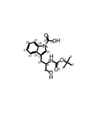 CC(C)(C)OC(=O)NC(CO)Cc1cn(C(=O)O)c2ccccc12